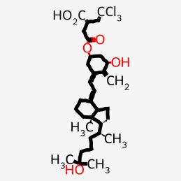 C=C1/C(=C\C=C2CCC[C@@]3(C)C2CC[C@@H]3[C@H](C)CCCC(C)(C)O)C[C@@H](OC(=O)CC(CC(Cl)(Cl)Cl)C(=O)O)C[C@H]1O